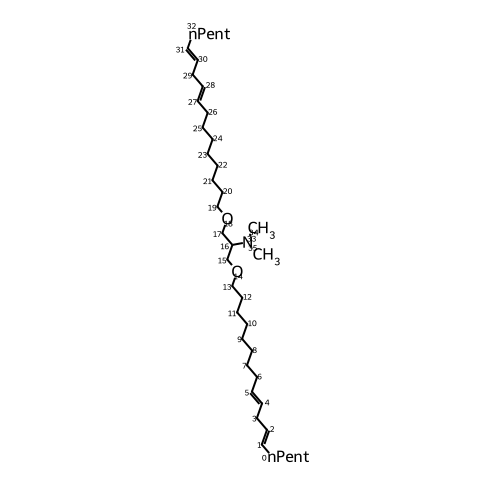 CCCCCC=CCC=CCCCCCCCCOCC(COCCCCCCCCC=CCC=CCCCCC)N(C)C